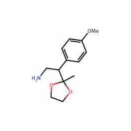 COc1ccc(C(CN)C2(C)OCCO2)cc1